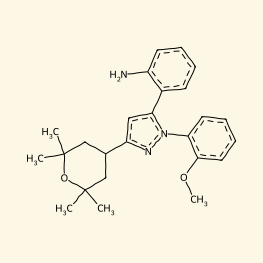 COc1ccccc1-n1nc(C2CC(C)(C)OC(C)(C)C2)cc1-c1ccccc1N